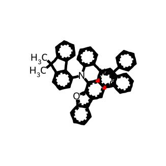 CC1(C)c2ccccc2-c2c(N(c3ccccc3-c3ccc4ccccc4c3)c3c4nc(-c5ccccc5)oc4cc4c3oc3ccccc34)cccc21